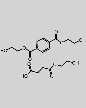 O=C(O)CCC(=O)OCCO.O=C(OCCO)c1ccc(C(=O)OCCO)cc1